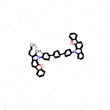 C=C/C=C\c1c(C)n(-c2ccc(-c3ccc(-c4ccc(-n5c6ccccc6c6ccc7c8ccccc8oc7c65)cc4)cc3)cc2)c2c1ccc1c3ccccc3oc12